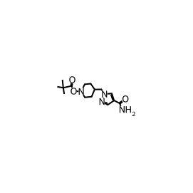 CC(C)(C)C(=O)ON1CCC(Cn2cc(C(N)=O)cn2)CC1